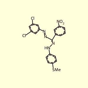 CSc1ccc(NN=C(N=Nc2cc(Cl)cc(Cl)c2)c2cccc([N+](=O)[O-])c2)cc1